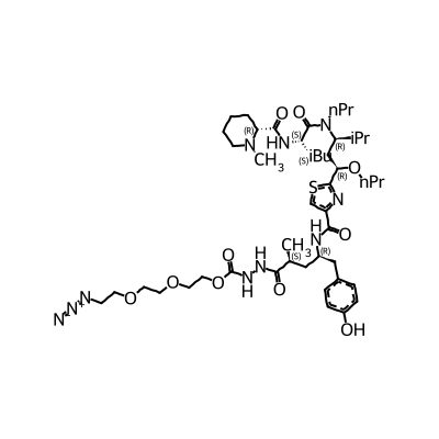 CCCO[C@H](C[C@H](C(C)C)N(CCC)C(=O)[C@@H](NC(=O)[C@H]1CCCCN1C)[C@@H](C)CC)c1nc(C(=O)N[C@@H](Cc2ccc(O)cc2)C[C@H](C)C(=O)NNC(=O)OCCOCCOCCN=[N+]=[N-])cs1